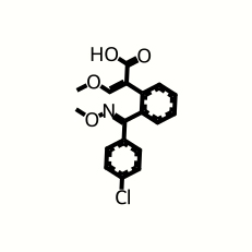 COC=C(C(=O)O)c1ccccc1C(=NOC)c1ccc(Cl)cc1